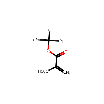 C=C(C(=O)O)C(=O)OC(C)(CCC)C(C)C